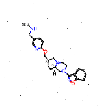 CC(C)(C)NCc1ccc(OC[C@@H]2CC[C@H]3CN(c4noc5ccccc45)CCN3C2)nc1